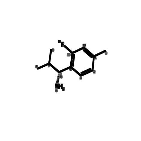 Cc1ccc([C@H](N)C(C)C)c(F)c1